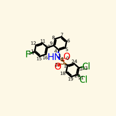 O=S(=O)(Nc1ccccc1-c1ccc(F)cc1)c1ccc(Cl)c(Cl)c1